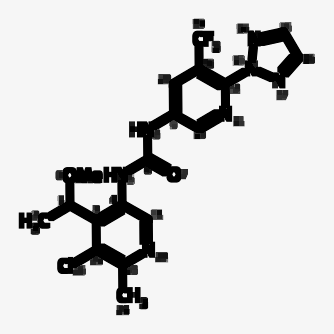 COC(C)c1c(NC(=O)Nc2cnc(-n3nccn3)c(C(F)(F)F)c2)cnc(C)c1Cl